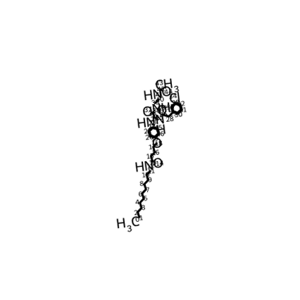 CCCCCCCCCCCCNC(=O)CCCOc1ccc(NC(NC(=O)Cc2cccc(Cl)c2)C(=O)NCCNC(C)=O)cc1